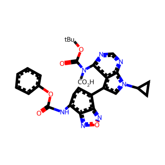 CC(C)(C)OC(=O)N(C(=O)O)c1ncnc2c1c(-c1ccc(NC(=O)Oc3ccccc3)c3nonc13)cn2C1CC1